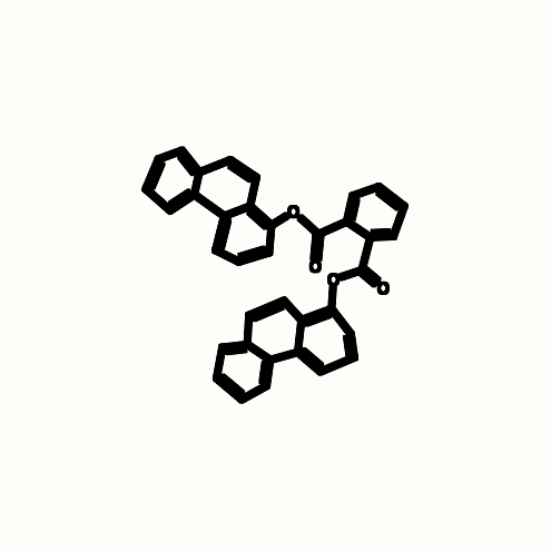 O=C(Oc1cccc2c1ccc1ccccc12)c1ccccc1C(=O)Oc1cccc2c1ccc1ccccc12